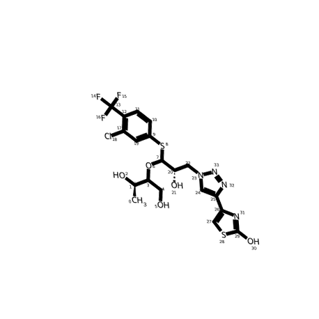 C[C@@H](O)C(CO)OC(Sc1ccc(C(F)(F)F)c(Cl)c1)[C@@H](O)Cn1cc(-c2csc(O)n2)nn1